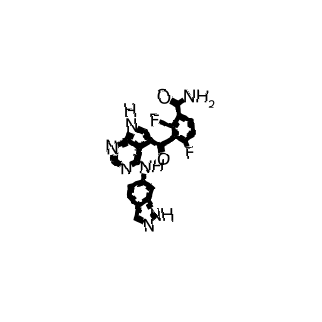 NC(=O)c1ccc(F)c(C(=O)c2c[nH]c3ncnc(Nc4ccc5cn[nH]c5c4)c23)c1F